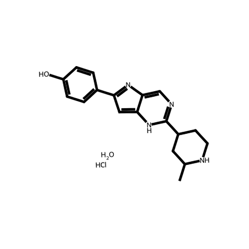 CC1CC(c2ncc3nc(-c4ccc(O)cc4)cc-3[nH]2)CCN1.Cl.O